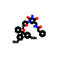 COc1ccc(C(OC[C@@H]2CC[C@H](n3cc(CNC(=O)Cc4ccccc4)c(=O)[nH]c3=O)O2)(c2ccccc2)c2ccc(OC)cc2)cc1